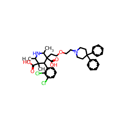 CC1NC(C)C(CCOCCN2CCC(c3ccccc3)(c3ccccc3)CC2)(C(=O)O)C(c2cccc(Cl)c2Cl)C1(C)C(=O)O